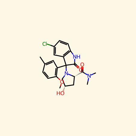 COc1ccc(C)cc1C1(N2C[C@@H](O)C[C@H]2C(=O)N(C)C)C(=O)Nc2ccc(Cl)cc21